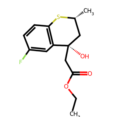 CCOC(=O)C[C@]1(O)C[C@@H](C)Sc2ccc(F)cc21